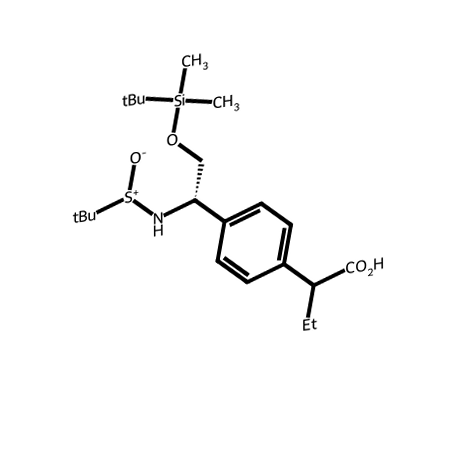 CCC(C(=O)O)c1ccc([C@@H](CO[Si](C)(C)C(C)(C)C)N[S+]([O-])C(C)(C)C)cc1